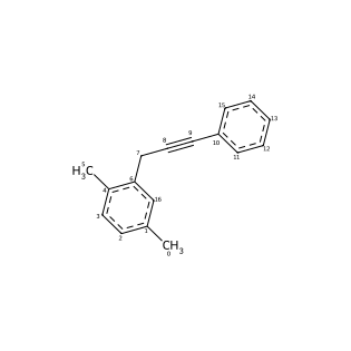 Cc1ccc(C)c(CC#Cc2ccccc2)c1